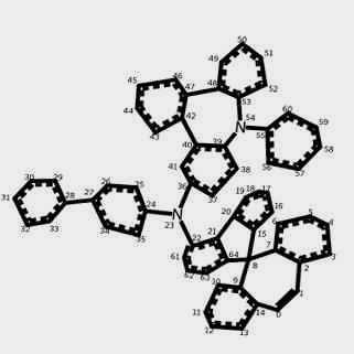 C1=Cc2ccccc2C2(c3ccccc31)c1ccccc1-c1c(N(c3ccc(-c4ccccc4)cc3)c3ccc4c(c3)-c3ccccc3-c3ccccc3N4c3ccccc3)cccc12